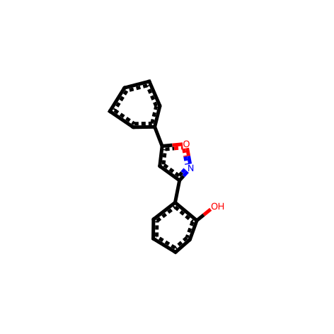 Oc1ccccc1-c1cc(-c2ccccc2)on1